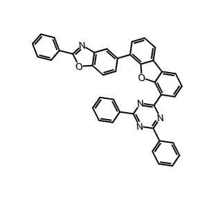 c1ccc(-c2nc(-c3ccccc3)nc(-c3cccc4c3oc3c(-c5ccc6oc(-c7ccccc7)nc6c5)cccc34)n2)cc1